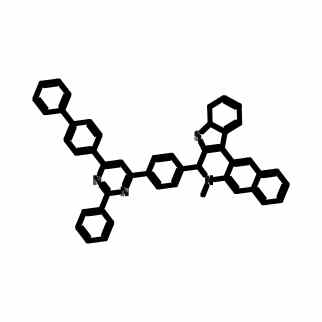 CN1c2cc3ccccc3cc2C2=C(SC3CC=CC=C23)C1c1ccc(-c2cc(-c3ccc(-c4ccccc4)cc3)nc(-c3ccccc3)n2)cc1